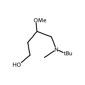 COC(CCO)CN(C)C(C)(C)C